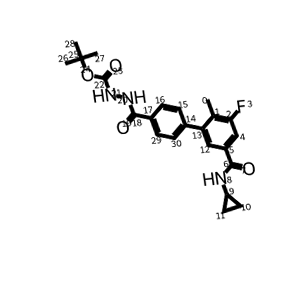 Cc1c(F)cc(C(=O)NC2CC2)cc1-c1ccc(C(=O)NNC(=O)OC(C)(C)C)cc1